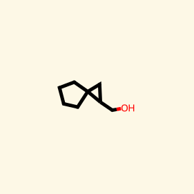 OCC1CC12CCCC2